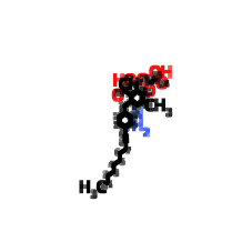 CCCCCCCCC#Cc1ccc(Cc2c(N)c(C)c(OCC(=O)O)c(C(=O)O)c2C(C)=O)cc1